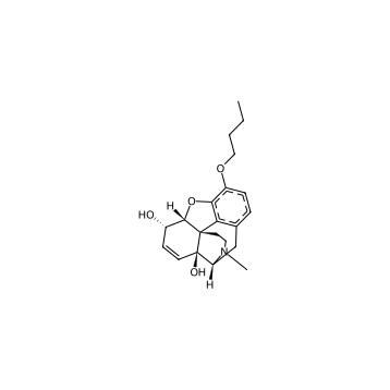 CCCCOc1ccc2c3c1O[C@H]1[C@@H](O)C=C[C@@]4(O)[C@@H](C2)N(C)CC[C@]314